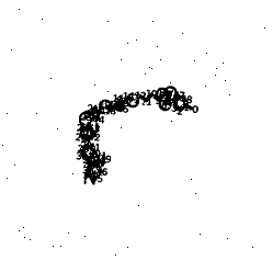 Cc1ccc(S(=O)(=O)OCCCCOCC23CC(CO[C@H]4C[C@H](Oc5ccc(-c6ccc7c8cnccc8n(C)c7c6)cn5)C4)(C2)C3)cc1